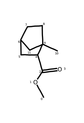 COC(=O)C1CC2CCC1(C)C2